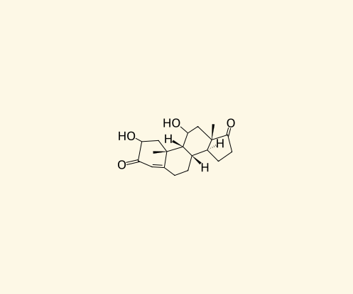 C[C@]12CC(O)C(=O)C=C1CC[C@@H]1[C@H]2C(O)C[C@]2(C)C(=O)CC[C@@H]12